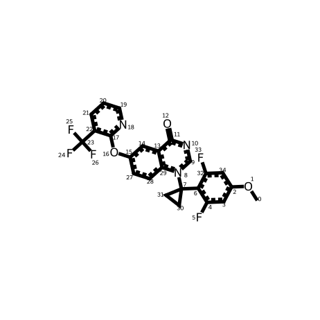 COc1cc(F)c(C2(n3cnc(=O)c4cc(Oc5ncccc5C(F)(F)F)ccc43)CC2)c(F)c1